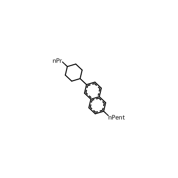 CCCCCc1ccc2cc(C3CCC(CCC)CC3)ccc2c1